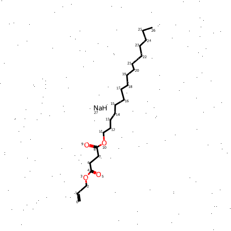 C=CCOC(=O)CCC(=O)OCCCCCCCCCCCCCCCC.[NaH]